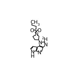 [2H]c1nc2cnc3[nH]ccc3c2n1C1CCN(S(=O)(=O)CCC)C1